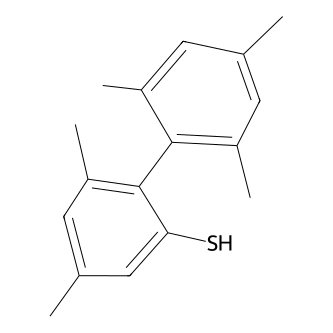 Cc1cc(C)c(-c2c(C)cc(C)cc2S)c(C)c1